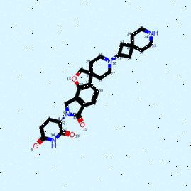 O=C1CC[C@H](N2Cc3c(ccc4c3OCC43CCN(C4CC5(CCNCC5)C4)CC3)C2=O)C(=O)N1